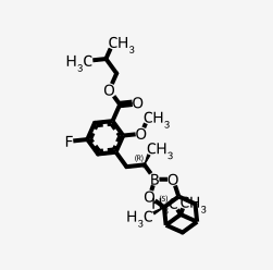 COc1c(C[C@@H](C)B2OC3CC4CC(C4(C)C)[C@]3(C)O2)cc(F)cc1C(=O)OCC(C)C